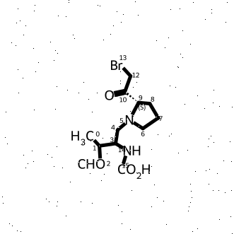 CC(C=O)C(CN1CCC[C@H]1C(=O)CBr)NC(=O)O